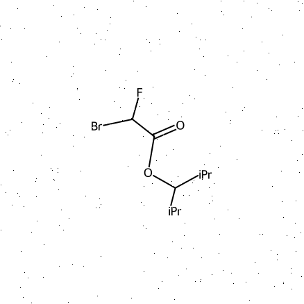 CC(C)C(OC(=O)C(F)Br)C(C)C